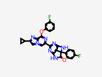 O=C1Nc2nc(-c3cn4cc(C5CC5)nc4c(Oc4cccc(F)c4)n3)nc3c2C1(c1ccc(F)cc1)N3